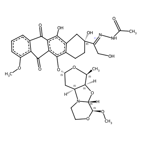 COc1cccc2c1C(=O)c1c(O[C@H]3C[C@H]4[C@H](O[C@@H]5[C@@H](OC)OCCN54)[C@H](C)O3)c3c(c(O)c1C2=O)C[C@@](O)(/C(CO)=N/NC(C)=O)CC3